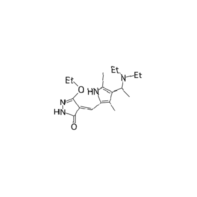 CCOC1=NNC(=O)/C1=C/c1[nH]c(C)c(C(C)N(CC)CC)c1C